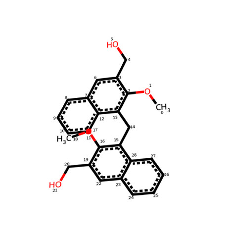 COc1c(CO)cc2ccccc2c1Cc1c(OC)c(CO)cc2ccccc12